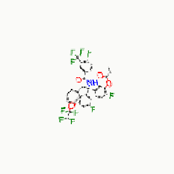 CCC(=O)Oc1cc(C(Cc2ccccc2)(NC(=O)c2ccc(F)c(C(F)(F)F)c2)c2cc(F)cc(OC(F)(F)C(F)F)c2)ccc1F